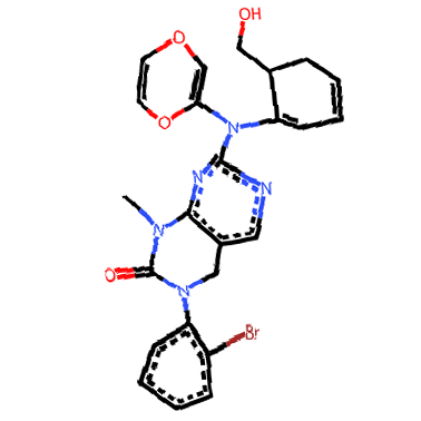 CN1C(=O)N(c2ccccc2Br)Cc2cnc(N(C3=COC=CO3)C3=CC=CCC3CO)nc21